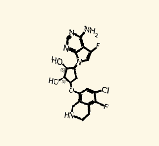 Nc1ncnc2c1c(F)cn2C1CC(Oc2cc(Cl)c(F)c3c2CNCC3)[C@@H](O)[C@H]1O